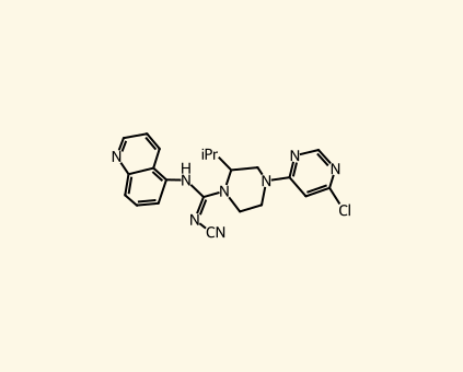 CC(C)C1CN(c2cc(Cl)ncn2)CCN1/C(=N\C#N)Nc1cccc2ncccc12